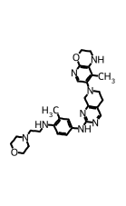 Cc1cc(Nc2ncc3c(n2)CN(c2cnc4c(c2C)NCCO4)CC3)ccc1NCCN1CCOCC1